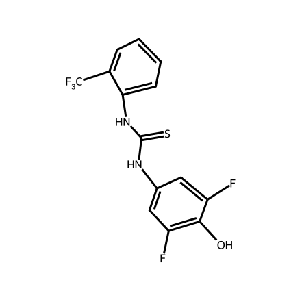 Oc1c(F)cc(NC(=S)Nc2ccccc2C(F)(F)F)cc1F